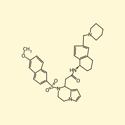 COc1ccc2cc(S(=O)(=O)N3CCn4cccc4C3CC(=O)N[C@@H]3CCCc4cc(CN5CCCCC5)ccc43)ccc2c1